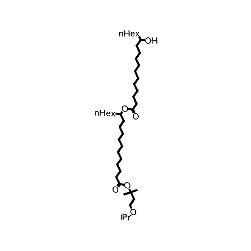 CCCCCCC(O)CCCCCCCCCCC(=O)OC(CCCCCC)CCCCCCCCCCC(=O)OC(C)(C)CCOC(C)C